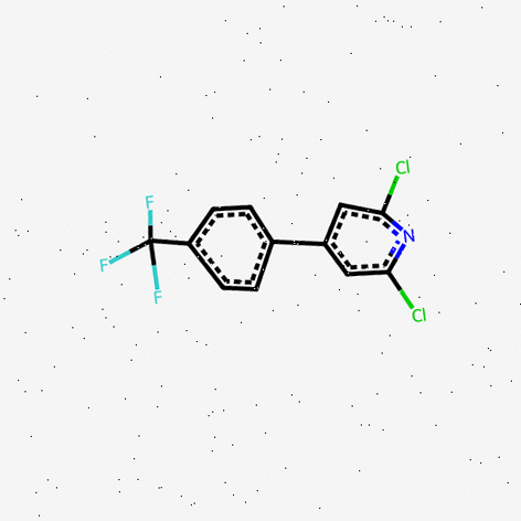 FC(F)(F)c1ccc(-c2cc(Cl)nc(Cl)c2)cc1